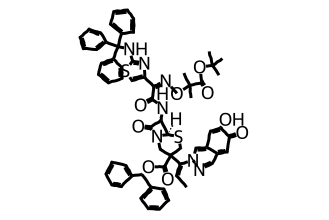 CC=C(n1cc2cc(O)c(=O)cc-2cn1)C1(C(=O)OC(c2ccccc2)c2ccccc2)CS[C@@H]2C(NC(=O)C(=NOC(C)(C)C(=O)OC(C)(C)C)c3csc(NC(c4ccccc4)(c4ccccc4)c4ccccc4)n3)C(=O)N2C1